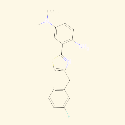 CCCCCCCCN(C)c1ccc(N)c(-c2nc(Cc3cccc(F)c3)cs2)c1